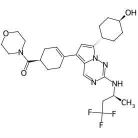 C[C@@H](CC(F)(F)F)Nc1ncc2c(C3=CC[C@H](C(=O)N4CCOCC4)CC3)cc([C@H]3CC[C@H](O)CC3)n2n1